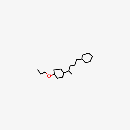 CCCOC1CCC(C(C)CCCC2CCCCC2)CC1